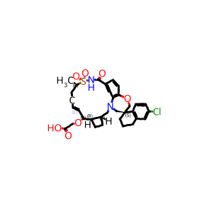 C[C@@H]1CC/C=C/[C@H](OCC(=O)O)[C@@H]2CC[C@H]2CN2C[C@@]3(CCCc4cc(Cl)ccc43)COc3ccc(cc32)C(=O)NS1(=O)=O